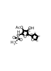 CC(=O)Oc1c(NS(C)(=O)=O)oc(-c2ccco2)c1O